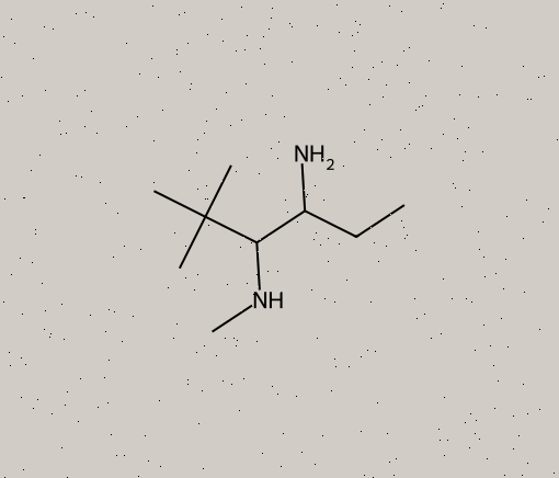 CCC(N)C(NC)C(C)(C)C